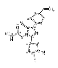 C=Cc1ccc(-n2nc(-c3ccc(F)c(Cl)c3)n(CC(=O)NC(C)C)c2=O)nc1